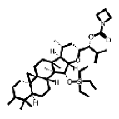 C=C(C)[C@@H](OC(=O)N1CCC1)[C@H]1C[C@@H](C)[C@H]2[C@H](O1)[C@H](O[Si](CC)(CC)CC)[C@@]1(C)[C@@H]3CC[C@H]4C(C)(C)C(C)CC[C@@]45C[C@@]35CC[C@]21C